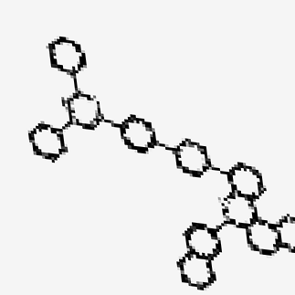 c1ccc(-c2cc(-c3ccc(-c4ccc(-c5cccc6c5nc(-c5ccc7ccccc7c5)c5ccc7ccccc7c56)cc4)cc3)nc(-c3ccccc3)n2)cc1